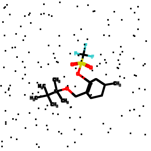 CC1CCC(CO[Si](C)(C)C(C)(C)C)=C(OS(=O)(=O)C(F)(F)F)C1